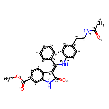 COC(=O)c1ccc2c(c1)NC(=O)/C2=C(\Nc1ccc(CCNC(C)=O)cc1)c1ccccc1